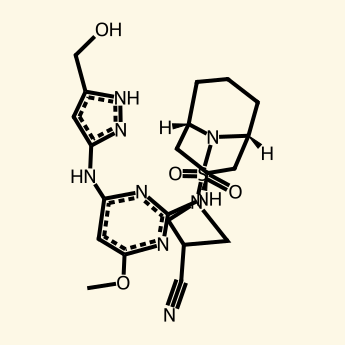 COc1cc(Nc2cc(CO)[nH]n2)nc(N[C@@H]2C[C@H]3CCC[C@@H](C2)N3S(=O)(=O)N2CC(C#N)C2)n1